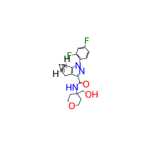 O=C(NC1(CO)CCOCC1)c1nn(-c2ccc(F)cc2F)c2c1C[C@H]1C[C@@H]21